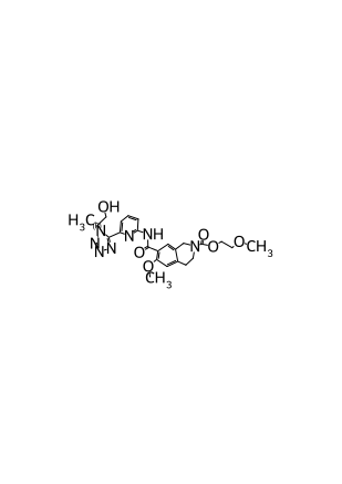 COCCOC(=O)N1CCc2cc(OC)c(C(=O)Nc3cccc(-c4nnnn4[C@H](C)CO)n3)cc2C1